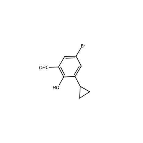 O=Cc1cc(Br)cc(C2CC2)c1O